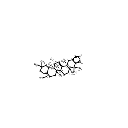 CC1(C)CC[C@]2(CO)CC[C@]3(C)[C@@](O)(C2C1)[C@H](O)C=C1[C@@]2(C)Cc4cnoc4C(C)(C)[C@@H]2CC[C@]13C